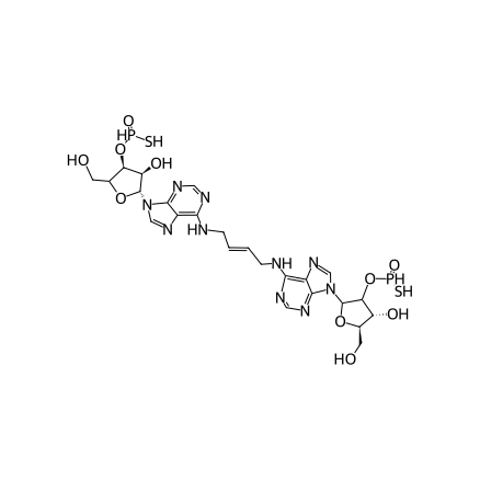 O=[PH](S)OC1C(n2cnc3c(NC/C=C/CNc4ncnc5c4ncn5[C@@H]4OC(CO)[C@@H](O[PH](=O)S)[C@H]4O)ncnc32)O[C@H](CO)[C@H]1O